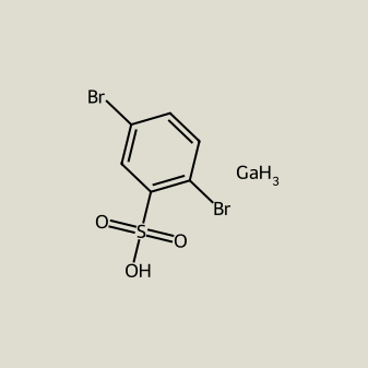 O=S(=O)(O)c1cc(Br)ccc1Br.[GaH3]